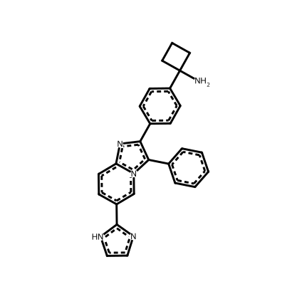 NC1(c2ccc(-c3nc4ccc(-c5ncc[nH]5)cn4c3-c3ccccc3)cc2)CCC1